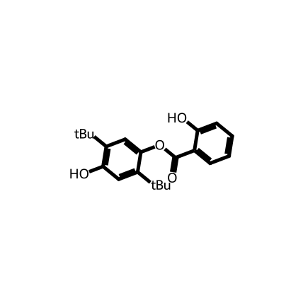 CC(C)(C)c1cc(OC(=O)c2ccccc2O)c(C(C)(C)C)cc1O